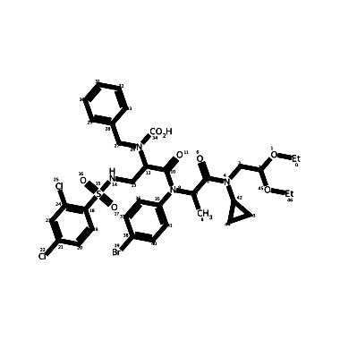 CCOC(CN(C(=O)C(C)N(C(=O)C(CNS(=O)(=O)c1ccc(Cl)cc1Cl)N(Cc1ccccc1)C(=O)O)c1ccc(Br)cc1)C1CC1)OCC